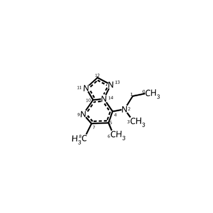 CCN(C)c1c(C)c(C)nc2ncnn12